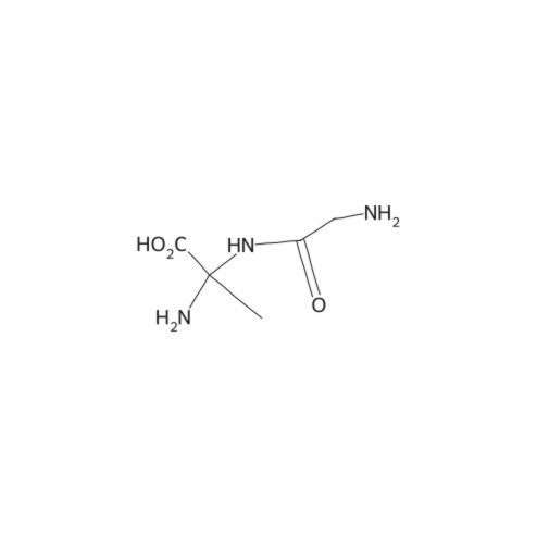 CC(N)(NC(=O)CN)C(=O)O